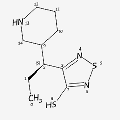 CC[C@H](c1nsnc1S)C1CCCNC1